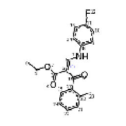 CCOC(=O)/C(=C/Nc1ccc(F)cc1)C(=O)c1ccccc1C